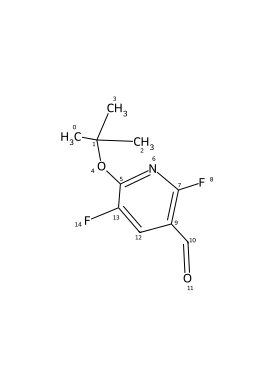 CC(C)(C)Oc1nc(F)c(C=O)cc1F